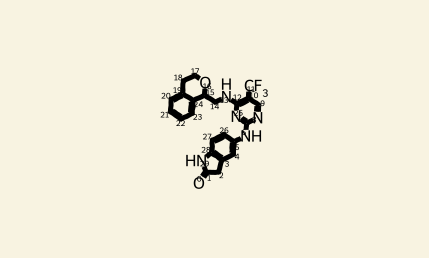 O=C1Cc2cc(Nc3ncc(C(F)(F)F)c(NCC4OCCc5ccccc54)n3)ccc2N1